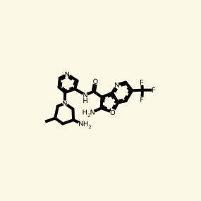 CC1CC(N)CN(c2ccncc2NC(=O)c2c(N)oc3cc(C(F)(F)F)cnc23)C1